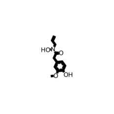 C=CCN(O)C(=O)Cc1ccc(O)c(OC)c1